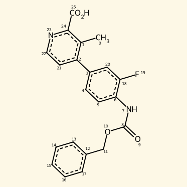 Cc1c(-c2ccc(NC(=O)OCc3ccccc3)c(F)c2)ccnc1C(=O)O